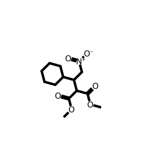 COC(=O)C(C(=O)OC)C(C[N+](=O)[O-])C1CCCCC1